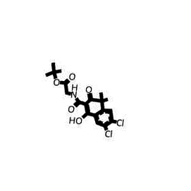 CC(C)(C)OC(=O)CNC(=O)C1=C(O)c2cc(Cl)c(Cl)cc2C(C)(C)C1=O